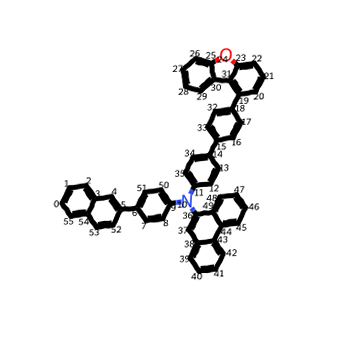 c1ccc2cc(-c3ccc(N(c4ccc(-c5ccc(-c6cccc7oc8ccccc8c67)cc5)cc4)c4cc5ccccc5c5ccccc45)cc3)ccc2c1